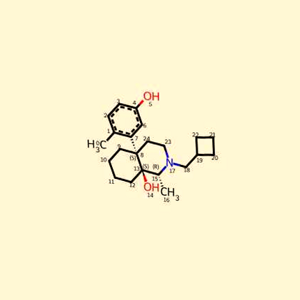 Cc1ccc(O)cc1[C@@]12CCCC[C@@]1(O)[C@@H](C)N(CC1CCC1)CC2